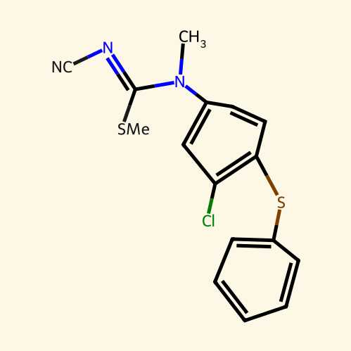 CS/C(=N\C#N)N(C)c1ccc(Sc2ccccc2)c(Cl)c1